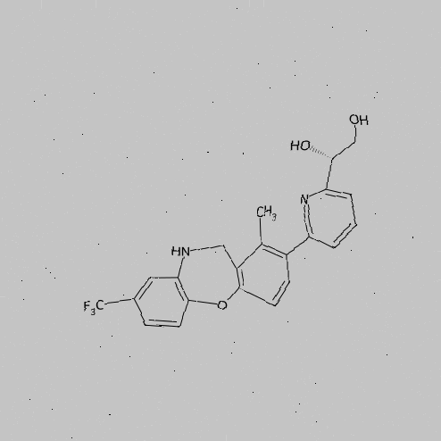 Cc1c(-c2cccc([C@H](O)CO)n2)ccc2c1CNc1cc(C(F)(F)F)ccc1O2